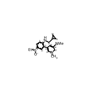 CC[S+]([O-])c1ccc(NCC2CC2)c(C2=CN(C)CC(NC)=C2)c1